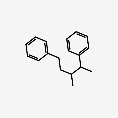 CC(CCc1ccccc1)C(C)c1ccccc1